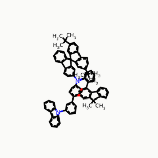 CC(C)(C)c1ccc2c(c1)C1(c3ccccc3-c3ccc(N(c4ccc(-c5cccc(-n6c7ccccc7c7ccccc76)c5)cc4)c4ccccc4-c4cccc5c4-c4ccccc4C5(C)C)cc31)c1cc(C(C)(C)C)ccc1-2